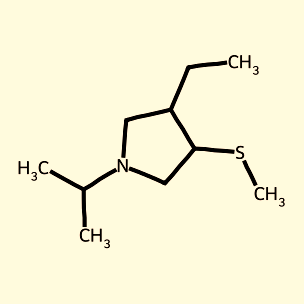 CCC1CN(C(C)C)CC1SC